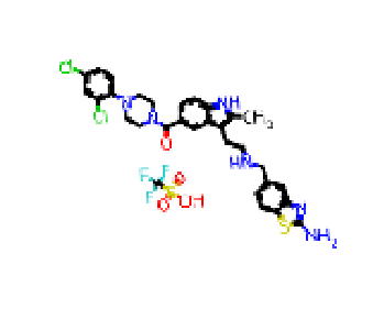 Cc1[nH]c2ccc(C(=O)N3CCN(c4ccc(Cl)cc4Cl)CC3)cc2c1CCNCc1ccc2sc(N)nc2c1.O=S(=O)(O)C(F)(F)F